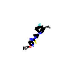 COc1ccc(NC(=S)N2CC(n3cc(C)c4cc(F)ccc43)C2)cn1